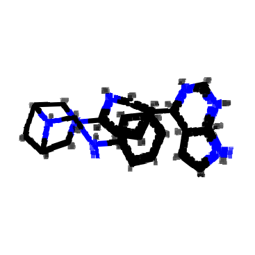 c1ccc(NCN2C3CC2CN(c2ccc(-c4ncnc5[nH]ccc45)cn2)C3)cc1